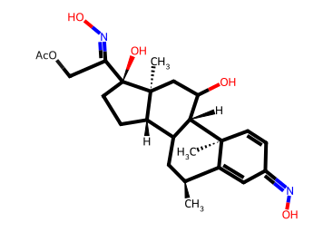 CC(=O)OC/C(=N\O)[C@@]1(O)CC[C@H]2C3C[C@H](C)C4=CC(=NO)C=C[C@]4(C)[C@H]3C(O)C[C@@]21C